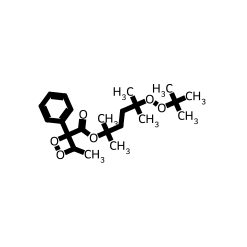 CC1OOC1(C(=O)OC(C)(C)CCC(C)(C)OOC(C)(C)C)c1ccccc1